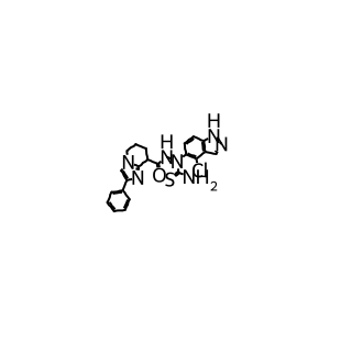 NC(=S)N(NC(=O)C1CCCn2cc(-c3ccccc3)nc21)c1ccc2[nH]ncc2c1Cl